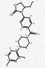 CCC1COC(=O)N1c1cnc(C(=O)N2CCN(c3ncc(C)cc3C)CC2)cn1